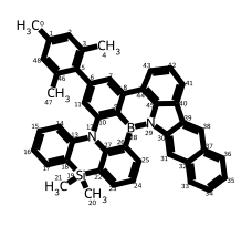 Cc1cc(C)c(-c2cc3c4c(c2)N2c5ccccc5[Si](C)(C)c5cccc(c52)B4n2c4cc5ccccc5cc4c4cccc-3c42)c(C)c1